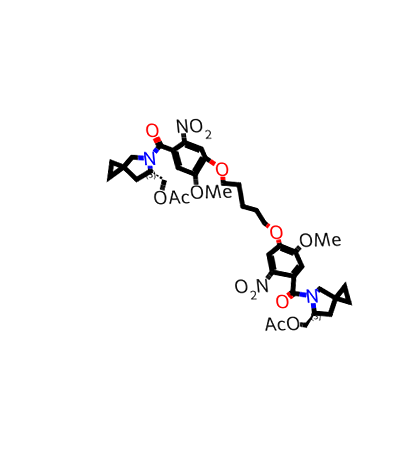 COc1cc(C(=O)N2CC3(CC3)C[C@H]2COC(C)=O)c([N+](=O)[O-])cc1OCCCCCOc1cc([N+](=O)[O-])c(C(=O)N2CC3(CC3)C[C@H]2COC(C)=O)cc1OC